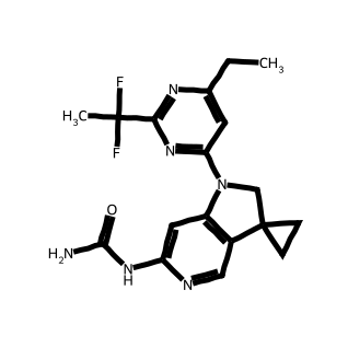 CCc1cc(N2CC3(CC3)c3cnc(NC(N)=O)cc32)nc(C(C)(F)F)n1